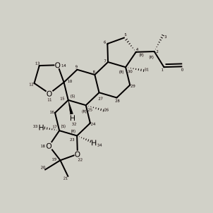 C=C[C@@H](C)[C@H]1CCC2C3CC4(OCCO4)[C@H]4C[C@@H]5OC(C)(C)O[C@@H]5C[C@]4(C)C3CC[C@@]21C